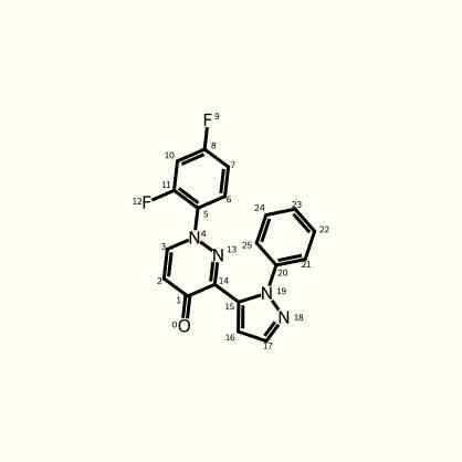 O=c1ccn(-c2ccc(F)cc2F)nc1-c1ccnn1-c1ccccc1